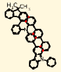 CC1(C)c2ccccc2-c2c(-c3ccccc3N(c3ccc(-c4ccc5c(c4)c4ccccc4n5-c4ccccc4)cc3)c3ccccc3-c3ccc(-c4ccccc4)cc3)cccc21